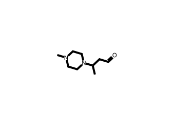 CC(CC=O)N1CCN(C)CC1